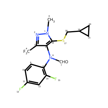 Cn1nc(C(F)(F)F)c(N(C=O)c2ccc(F)cc2F)c1SCC1CC1